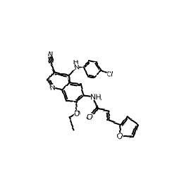 CCOc1cc2ncc(C#N)c(Nc3ccc(Cl)cc3)c2cc1NC(=O)/C=C/c1ccco1